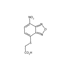 O=C(O)CSc1ccc([N+](=O)[O-])c2nonc12